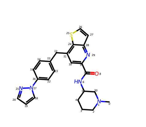 CN1CCCC(NC(=O)c2cc(Cc3ccc(-n4cccn4)cc3)c3sccc3n2)C1